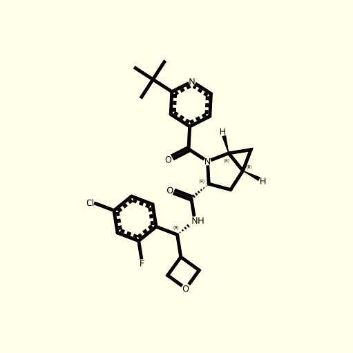 CC(C)(C)c1cc(C(=O)N2[C@@H](C(=O)N[C@@H](c3ccc(Cl)cc3F)C3COC3)C[C@H]3C[C@H]32)ccn1